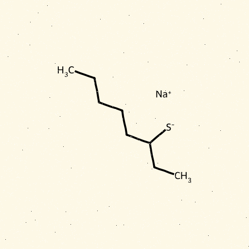 CCCCCC([S-])CC.[Na+]